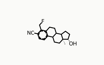 C[C@]12CCC3c4ccc(C#N)c(CF)c4CCC3C1CC[C@@H]2O